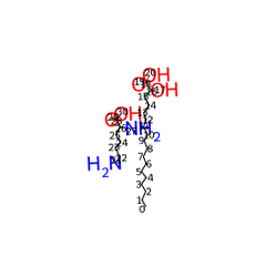 CCCCCCCCCCCCCCCCC(O)C(=O)O.NCCCCC(N)C(=O)O